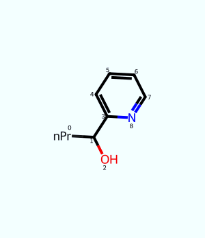 CCCC(O)c1ccccn1